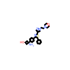 N[C@]1(c2ccc(-c3nc(-c4cnn(CCN5CCOCC5)c4)sc3-c3ccccc3)cc2)C[C@@H](O)C1